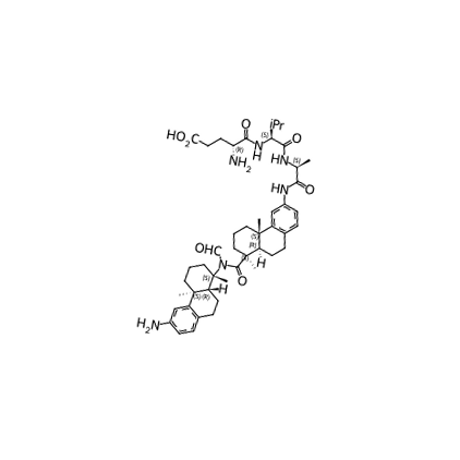 CC(C)[C@H](NC(=O)[C@H](N)CCC(=O)O)C(=O)N[C@@H](C)C(=O)Nc1ccc2c(c1)[C@@]1(C)CCC[C@](C)(C(=O)N(C=O)[C@@]3(C)CCC[C@]4(C)c5cc(N)ccc5CC[C@@H]34)[C@@H]1CC2